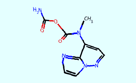 CN(C(=O)OC(N)=O)c1ccnn2ccnc12